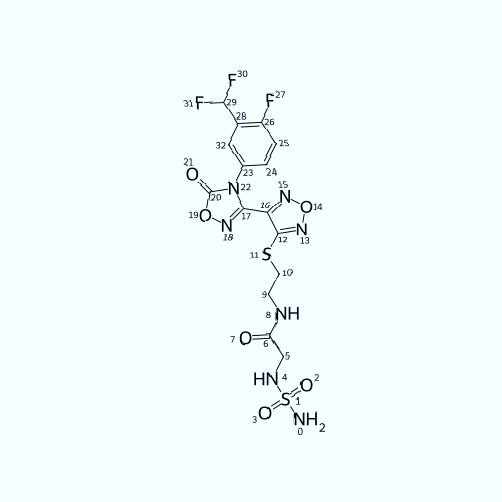 NS(=O)(=O)NCC(=O)NCCSc1nonc1-c1noc(=O)n1-c1ccc(F)c(C(F)F)c1